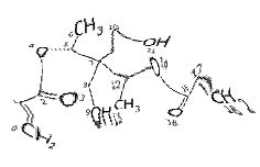 C=CC(=O)OC(C)C(CO)(CO)C(C)OC(=O)C=C